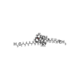 CCCCCCCCCCCCCn1ccnc1C(CCCCCCCCCC)C(C)(Cc1ccccc1)c1ccccc1